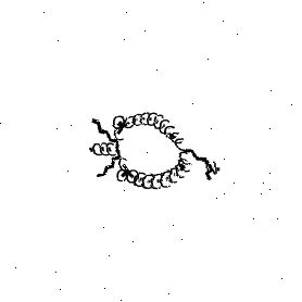 C=C=C=C=C1C(CCCCC)CC(=O)OCCCCCCCCC(CCCN(C)CC)CCCCCCCCOC(=O)CC1CCCCC